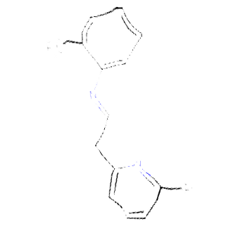 CC(=O)c1cccc(CC=Nc2ccccc2C(F)(F)F)n1